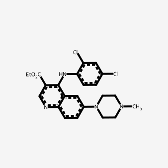 CCOC(=O)c1cnc2ccc(N3CCN(C)CC3)cc2c1Nc1ccc(Cl)cc1Cl